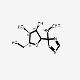 O=CNC1(C2O[C@H](CO)[C@@H](O)[C@H]2O)N=CN=N1